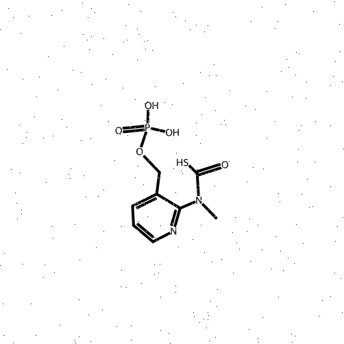 CN(C(=O)S)c1ncccc1COP(=O)(O)O